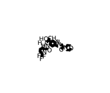 CC(C)(O)c1cc2nn(CC(=O)N3CCOCC3)cc2cc1NC(=O)c1cccc(C(F)(F)F)n1